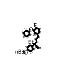 C#CC(CC)(CCCc1ccc(F)c(Oc2ccccc2)c1)c1ccc(OCCCC)cc1